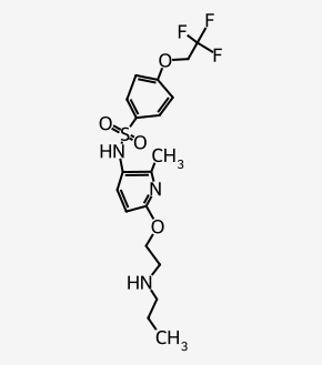 CCCNCCOc1ccc(NS(=O)(=O)c2ccc(OCC(F)(F)F)cc2)c(C)n1